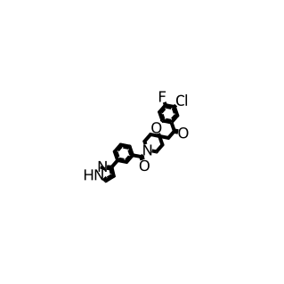 O=C1CC2(CCN(C(=O)c3cccc(-c4cc[nH]n4)c3)CC2)Oc2cc(F)c(Cl)cc21